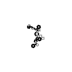 O=C(c1ccccc1)N1CCC(CCN2CCCN(c3nc4ccccc4n3CCOCc3ccco3)CC2)(c2ccc(Cl)c(Cl)c2)C1